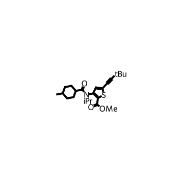 COC(=O)c1sc(C#CC(C)(C)C)cc1N(C(=O)C1CCC(C)CC1)C(C)C